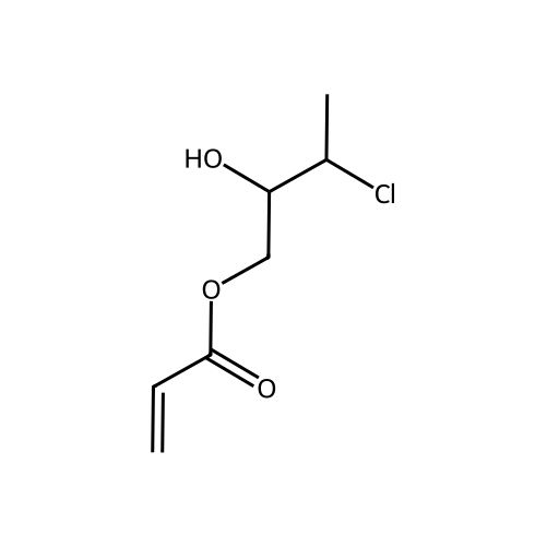 C=CC(=O)OCC(O)C(C)Cl